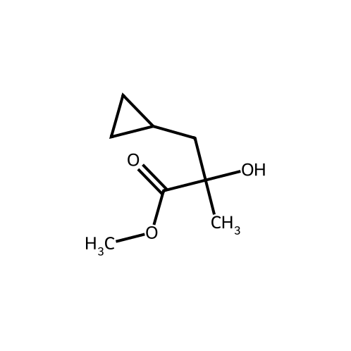 COC(=O)C(C)(O)CC1CC1